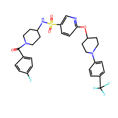 O=C(c1ccc(F)cc1)N1CCC(NS(=O)(=O)c2ccc(OC3CCN(c4ccc(C(F)(F)F)cc4)CC3)nc2)CC1